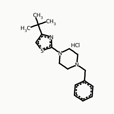 CC(C)(C)c1csc(N2CCN(Cc3ccccc3)CC2)n1.Cl